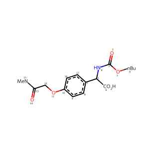 CCCCOC(=O)NC(C(=O)O)c1ccc(OCC(=O)NC)cc1